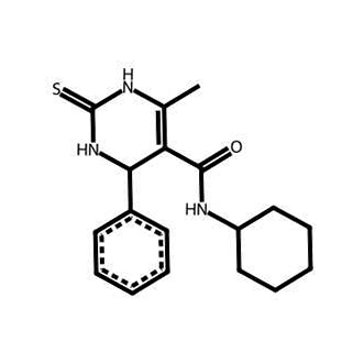 CC1=C(C(=O)NC2CCCCC2)C(c2ccccc2)NC(=S)N1